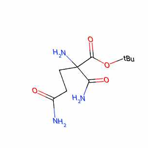 CC(C)(C)OC(=O)C(N)(CCC(N)=O)C(N)=O